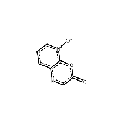 O=c1cnc2ccc[n+]([O-])c2o1